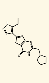 CCc1[nH]ncc1-c1cc2nc(CN3CCCC3)[nH]c(=O)c2s1